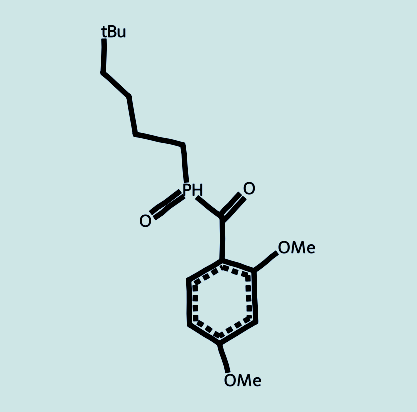 COc1ccc(C(=O)[PH](=O)CCCCC(C)(C)C)c(OC)c1